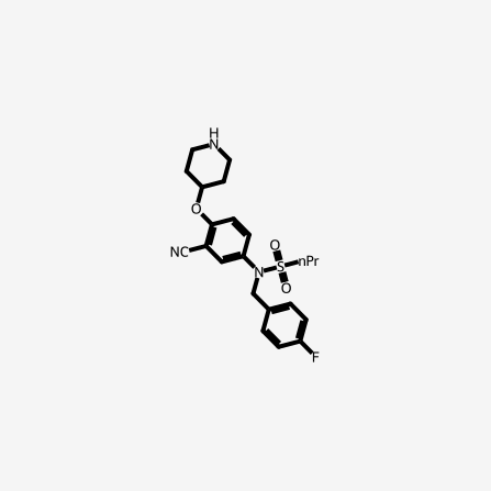 CCCS(=O)(=O)N(Cc1ccc(F)cc1)c1ccc(OC2CCNCC2)c(C#N)c1